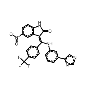 O=C1Nc2ccc([N+](=O)[O-])cc2/C1=C(/Nc1cccc(-c2c[nH]cn2)c1)c1ccc(C(F)(F)F)cc1